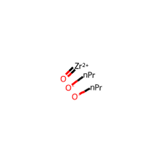 CCC[O-].CCC[O-].[O]=[Zr+2]